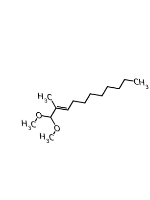 CCCCCCCC/C=C(\C)C(OC)OC